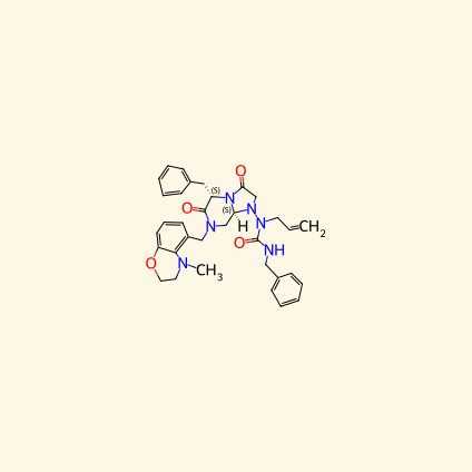 C=CCN(C(=O)NCc1ccccc1)N1CC(=O)N2[C@@H](Cc3ccccc3)C(=O)N(Cc3cccc4c3N(C)CCO4)C[C@@H]21